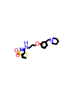 O=S1(=O)N=C(NCCCOc2cccc(CN3CCCCC3)c2)c2sccc21